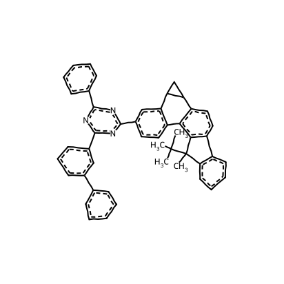 CC(C)(C)C1(C)c2ccccc2-c2ccc3c(c21)-c1ccc(-c2nc(-c4ccccc4)nc(-c4cccc(-c5ccccc5)c4)n2)cc1C1CC31